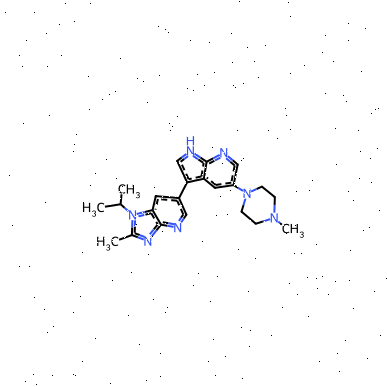 Cc1nc2ncc(-c3c[nH]c4ncc(N5CCN(C)CC5)cc34)cc2n1C(C)C